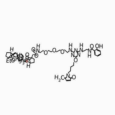 C=C1C=CC(=O)N1CCCCCOc1nc(NCCNC(=O)c2ccccc2O)nc(NCCOCCOCCOCCNS(=O)(=O)CC23CC[C@@H](/C(=C/c4ccc(/C=C5\C(=O)C6(CC)CC[C@@H]5C6(C)C)cc4)C2=O)C3(C)C)n1